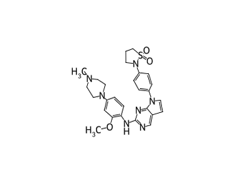 COc1cc(N2CCN(C)CC2)ccc1Nc1ncc2ccn(-c3ccc(N4CCCS4(=O)=O)cc3)c2n1